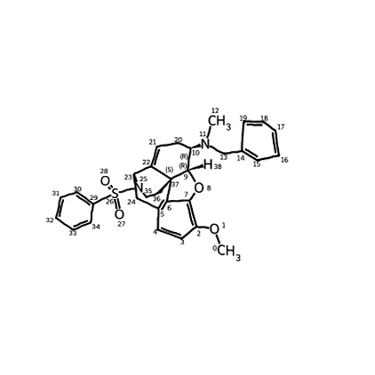 COc1ccc2c3c1O[C@H]1[C@H](N(C)Cc4ccccc4)CC=C4C(C2)N(S(=O)(=O)c2ccccc2)CC[C@]431